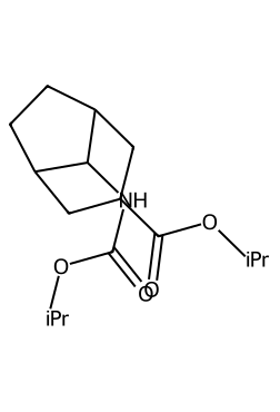 CC(C)OC(=O)NC1C2CCC1CC(C(=O)OC(C)C)C2